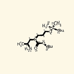 CC(N)CN(CCCO[Si](C)(C)C(C)(C)C)C(=O)OC(C)(C)C